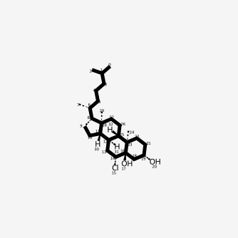 CC(C)CCC[C@@H](C)[C@H]1CC[C@H]2[C@@H]3C[C@@H](Cl)[C@@]4(O)C[C@@H](O)CC[C@]4(C)[C@H]3CC[C@]12C